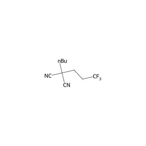 CCCCC(C#N)(C#N)CCC(F)(F)F